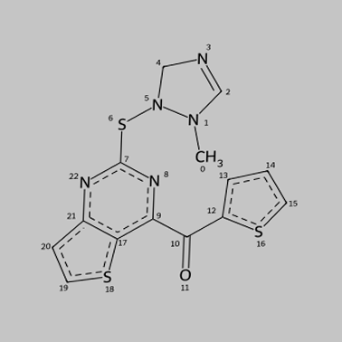 CN1C=NCN1Sc1nc(C(=O)c2cccs2)c2sccc2n1